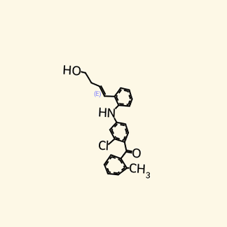 Cc1ccccc1C(=O)c1ccc(Nc2ccccc2/C=C/CCO)cc1Cl